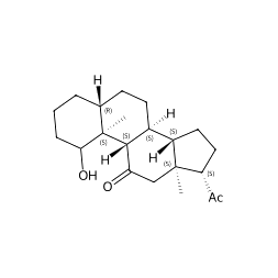 CC(=O)[C@H]1CC[C@H]2[C@@H]3CC[C@H]4CCCC(O)[C@]4(C)[C@H]3C(=O)C[C@]12C